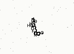 COc1ccc2ncc(F)c(CCCC(CNC(=O)OC(C)(C)C)C(=O)O)c2c1